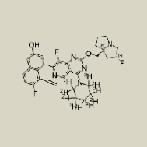 [2H]C1([2H])N(c2nc(OC[C@@]34CCCN3C[C@H](F)C4)nc3c(F)c(-c4cc(O)cc5ccc(F)c(C#C)c45)ncc23)C([2H])([2H])C([2H])([2H])C([2H])([2H])C1([2H])[2H]